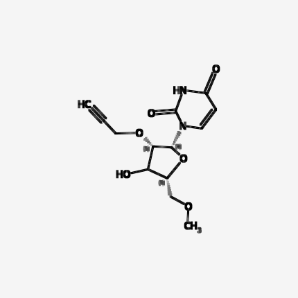 C#CCO[C@H]1C(O)[C@@H](COC)O[C@H]1n1ccc(=O)[nH]c1=O